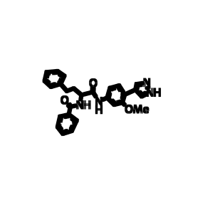 COc1cc(NC(=O)C(CCc2ccccc2)NC(=O)c2ccccc2)ccc1-c1cn[nH]c1